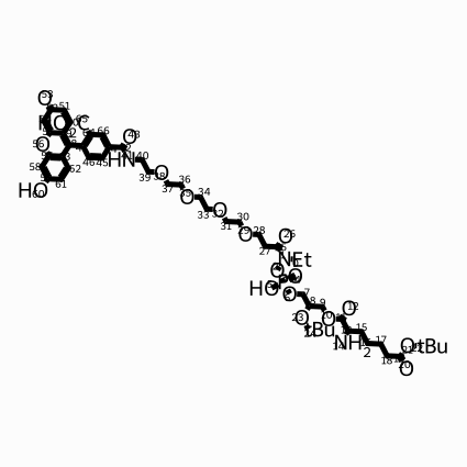 CCN(OP(=O)(O)OCC(COC(=O)C(N)CCCCC(=O)OC(C)(C)C)OC(C)(C)C)C(=O)CCOCCOCCOCCOCCNC(=O)c1ccc(-c2c3ccc(=O)cc-3oc3cc(O)ccc23)c(C(=O)O)c1